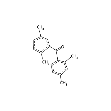 Cc1ccc(C(=O)c2cc(C)ccc2C)c(C)c1